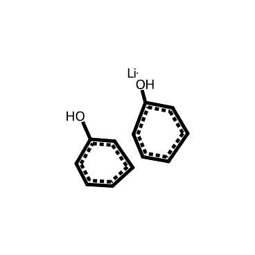 Oc1ccccc1.Oc1ccccc1.[Li]